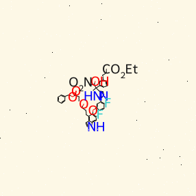 CCOC(=O)CCc1cccc(C(C)(c2cnc(-c3cc(Oc4c(F)cc5[nH]ccc5c4CCCOCCC(=O)OCc4ccccc4)ccc3F)[nH]2)C(O)C[N+](=O)[O-])c1